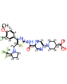 COc1ccc(-c2nc(NC(=O)c3cnc(N4CCC(C(=O)O)CC4)cn3)sc2CN2CCC[C@H]2C(F)(F)F)cc1Cl